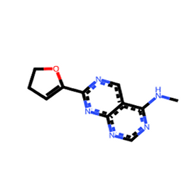 CNc1ncnc2nc(C3=CCCO3)ncc12